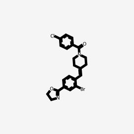 O=C(c1ccc(Cl)cc1)N1CCC(=Cc2ccc(C3=NCCO3)cc2Br)CC1